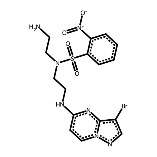 NCCN(CCNc1ccn2ncc(Br)c2n1)S(=O)(=O)c1ccccc1[N+](=O)[O-]